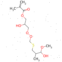 C=C(C)C(=O)OCC(O)COOCSCC(C)C(O)OC